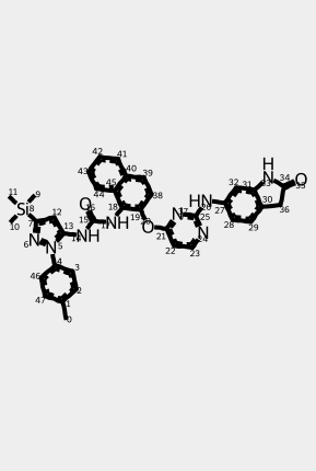 Cc1ccc(-n2nc([Si](C)(C)C)cc2NC(=O)Nc2c(Oc3ccnc(Nc4ccc5c(c4)NC(=O)C5)n3)ccc3ccccc23)cc1